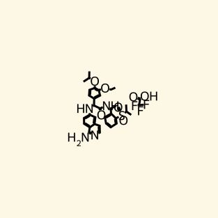 CCOc1cc(C(Nc2ccc3c(N)nccc3c2)C(=O)NC(C)c2ccccc2S(=O)(=O)C(C)C)ccc1OC(C)C.O=C(O)C(F)(F)F